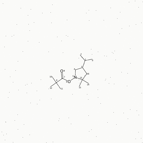 CC(C)C1CN(OC(=O)C(C)(C)C)C(C)(C)C1